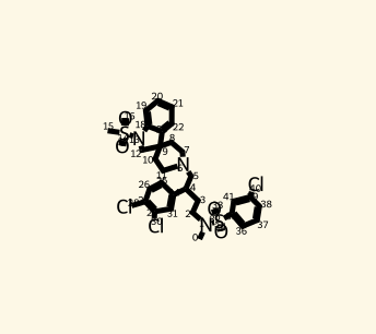 CN(CCC(CN1CCC2(CC1)CN(S(C)(=O)=O)c1ccccc12)c1ccc(Cl)c(Cl)c1)S(=O)(=O)c1cccc(Cl)c1